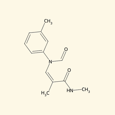 CNC(=O)/C(C)=C\N(C=O)c1cccc(C)c1